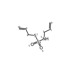 C=CCNS(=O)(=O)SCC=C